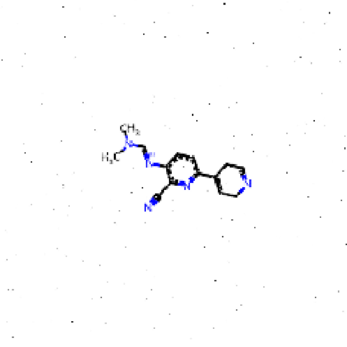 CN(C)/C=N/c1ccc(C2=CCN=CC2)nc1C#N